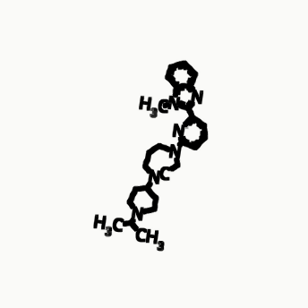 CC(C)N1CCC(N2CCCN(c3cccc(-c4nc5ccccc5n4C)n3)CC2)CC1